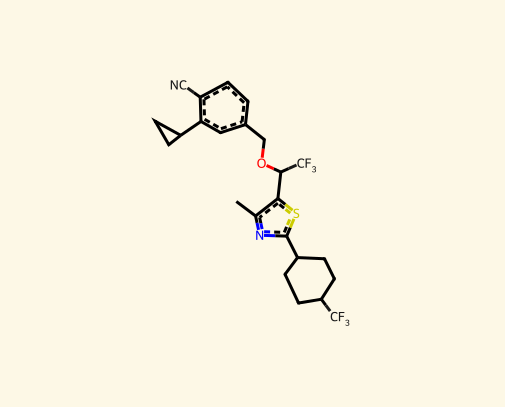 Cc1nc(C2CCC(C(F)(F)F)CC2)sc1C(OCc1ccc(C#N)c(C2CC2)c1)C(F)(F)F